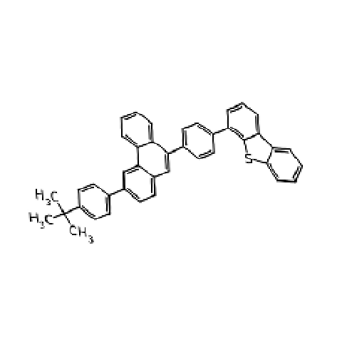 CC(C)(C)c1ccc(-c2ccc3cc(-c4ccc(-c5cccc6c5sc5ccccc56)cc4)c4ccccc4c3c2)cc1